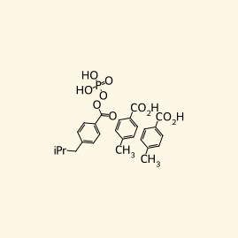 CC(C)Cc1ccc(C(=O)OOP(=O)(O)O)cc1.Cc1ccc(C(=O)O)cc1.Cc1ccc(C(=O)O)cc1